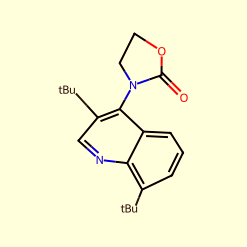 CC(C)(C)c1cnc2c(C(C)(C)C)cccc2c1N1CCOC1=O